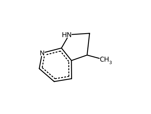 CC1CNc2ncccc21